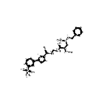 CCCCCC(CN(C=O)OCc1ccccc1)C(=O)NCNC(=O)c1ccc(-c2cccc(S(N)(=O)=O)c2)o1